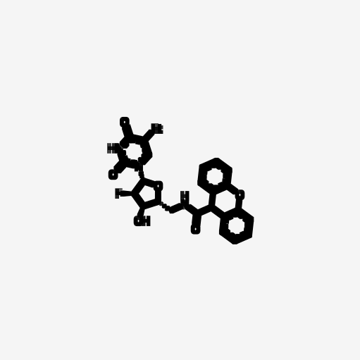 CCc1cn([C@@H]2O[C@H](CNC(=O)C3c4ccccc4Oc4ccccc43)[C@@H](O)[C@H]2F)c(=O)[nH]c1=O